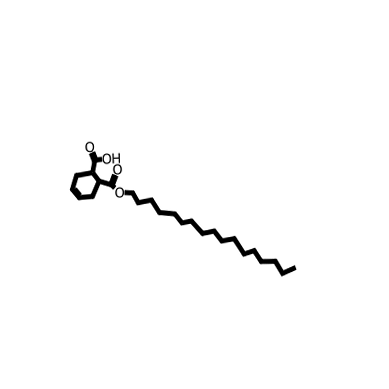 CCCCCCCCCCCCCCCCCOC(=O)C1CC=CCC1C(=O)O